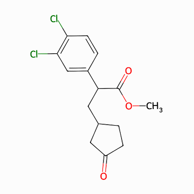 COC(=O)C(CC1CCC(=O)C1)c1ccc(Cl)c(Cl)c1